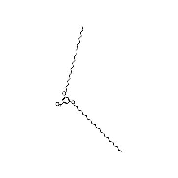 CCCCCCCCCCCCCCCCCCCCCCOc1cc([C]=O)cc(OCCCCCCCCCCCCCCCCCCCCCC)c1